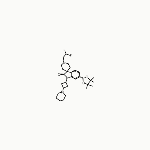 CC1(C)OB(c2ccc3c(c2)N(C2CC(N4CCCCC4)C2)C(=O)C32CCN(CC(F)F)CC2)OC1(C)C